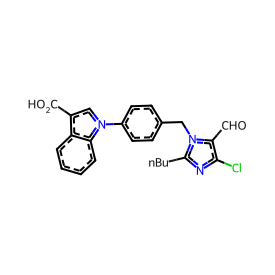 CCCCc1nc(Cl)c(C=O)n1Cc1ccc(-n2cc(C(=O)O)c3ccccc32)cc1